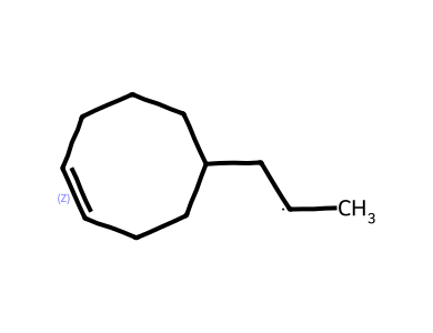 C[CH]CC1CC/C=C\CCC1